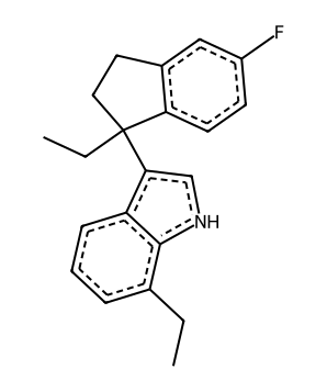 CCc1cccc2c(C3(CC)CCc4cc(F)ccc43)c[nH]c12